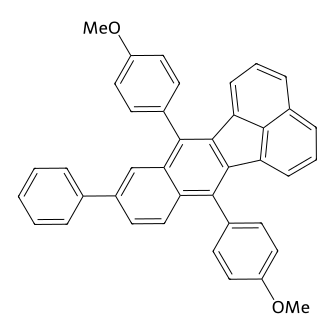 COc1ccc(-c2c3c(c(-c4ccc(OC)cc4)c4cc(-c5ccccc5)ccc24)-c2cccc4cccc-3c24)cc1